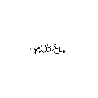 Nc1ccn(C2OC(CCOP(=O)(O)O)C(O)C2O)c(=O)n1